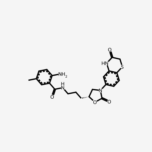 Cc1ccc(N)c(C(=O)NCCC[C@@H]2CN(c3ccc4c(c3)NC(=O)CS4)C(=O)O2)c1